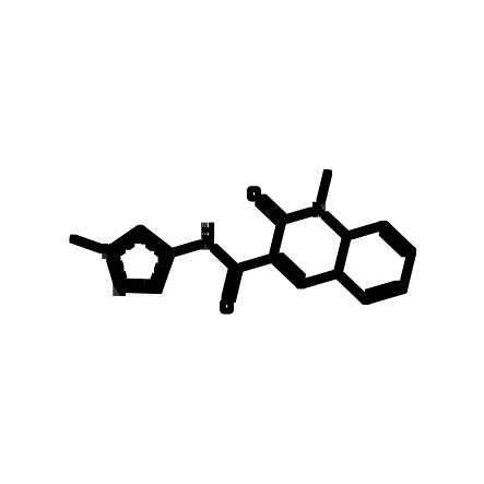 CN1C(=O)C(C(=O)Nc2cnn(C)c2)=CC2C=CC=CC21